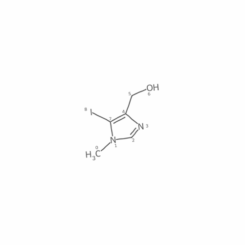 Cn1cnc(CO)c1I